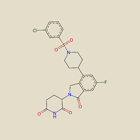 O=C1CCC(N2Cc3c(cc(F)cc3C3CCN(S(=O)(=O)c4cccc(Cl)c4)CC3)C2=O)C(=O)N1